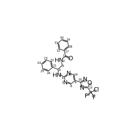 O=C(NCC(Nc1ncc(-c2noc(C(F)(F)Cl)n2)cn1)c1ccccc1)c1ccccc1